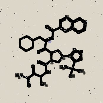 CC(NC(=O)[C@@H]1C[C@H](n2nncc2C(C)(C)O)CN1C(=O)/C(CC1CCCCC1)=N/C(=O)c1cnc2cnccc2c1)C(=O)C(N)=O